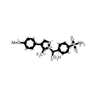 COc1ccc(-c2cnn(C(C(=O)O)c3ccc(S(N)(=O)=O)cc3)c2C(F)(F)F)cc1